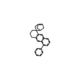 C1=C2CC(C1)C1(CCCc3cc4c(-c5ccccc5)cccc4cc31)C2